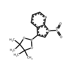 CC1(C)OB(c2cn([SH](=O)=O)c3ncccc23)OC1(C)C